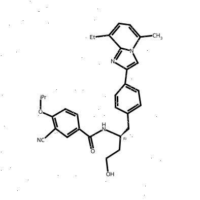 CCc1ccc(C)n2cc(-c3ccc(C[C@@H](CCO)NC(=O)c4ccc(OC(C)C)c(C#N)c4)cc3)nc12